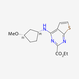 CCOC(=O)c1nc(N[C@@H]2CC[C@H](OC)C2)c2ccsc2n1